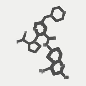 Cc1cc(O)nc2ccc(NC(=O)c3cc(CN4CCOCC4)cnc3N3CCC[C@H]3C(F)F)cc12